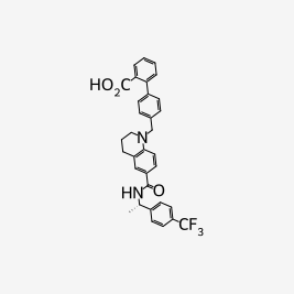 C[C@H](NC(=O)c1ccc2c(c1)CCCN2Cc1ccc(-c2ccccc2C(=O)O)cc1)c1ccc(C(F)(F)F)cc1